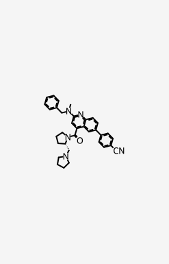 CN(Cc1ccccc1)c1cc(C(=O)N2CCC[C@H]2CN2CCCC2)c2cc(-c3ccc(C#N)cc3)ccc2n1